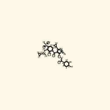 Cc1ccc(C(=O)COc2c(C(=O)c3ccc(S(C)(=O)=O)c(CN(C)C4CC4)c3Cl)c(C3CC3)nn2C)cc1